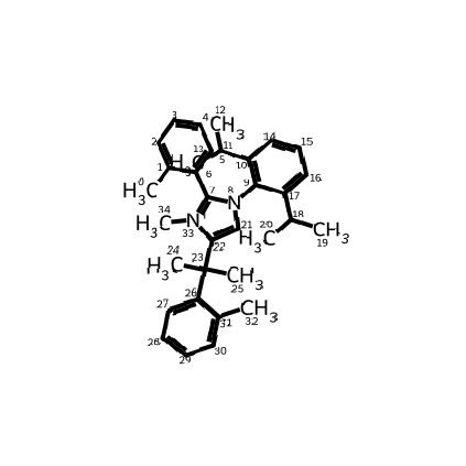 Cc1ccccc1-c1n(-c2c(C(C)C)cccc2C(C)C)cc(C(C)(C)c2ccccc2C)[n+]1C